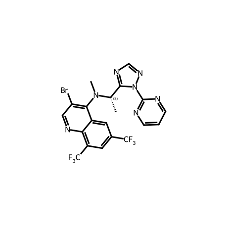 C[C@@H](c1ncnn1-c1ncccn1)N(C)c1c(Br)cnc2c(C(F)(F)F)cc(C(F)(F)F)cc12